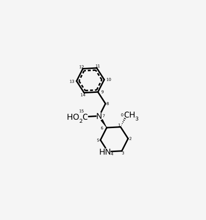 C[C@@H]1CCNC[C@H]1N(Cc1ccccc1)C(=O)O